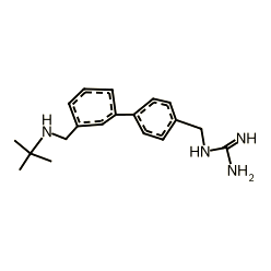 CC(C)(C)NCc1cccc(-c2ccc(CNC(=N)N)cc2)c1